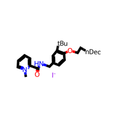 CCCCCCCCCCCCOc1ccc(CNC(=O)c2cccc[n+]2C)cc1C(C)(C)C.[I-]